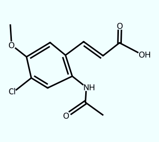 COc1cc(C=CC(=O)O)c(NC(C)=O)cc1Cl